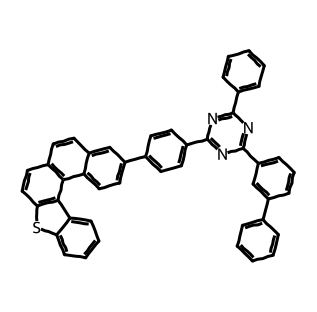 c1ccc(-c2cccc(-c3nc(-c4ccccc4)nc(-c4ccc(-c5ccc6c(ccc7ccc8sc9ccccc9c8c76)c5)cc4)n3)c2)cc1